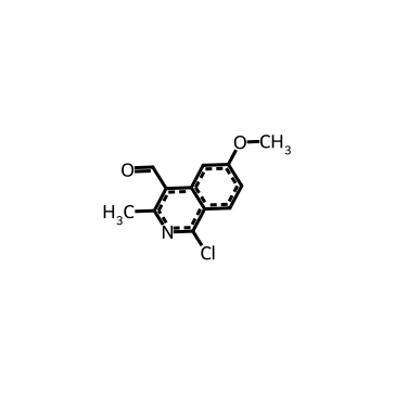 COc1ccc2c(Cl)nc(C)c(C=O)c2c1